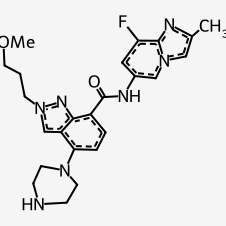 COCCCn1cc2c(N3CCNCC3)ccc(C(=O)Nc3cc(F)c4nc(C)cn4c3)c2n1